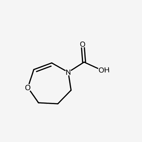 O=C(O)N1C=COCCC1